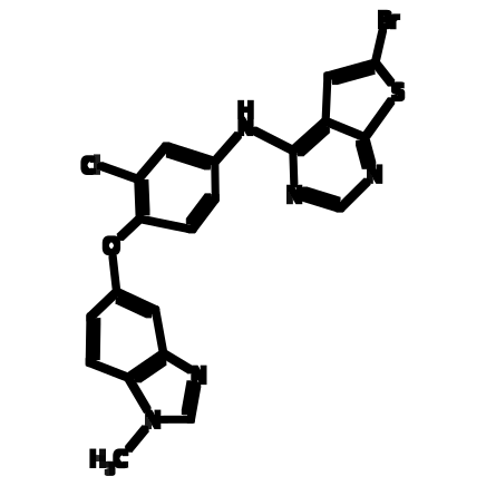 Cn1cnc2cc(Oc3ccc(Nc4ncnc5sc(Br)cc45)cc3Cl)ccc21